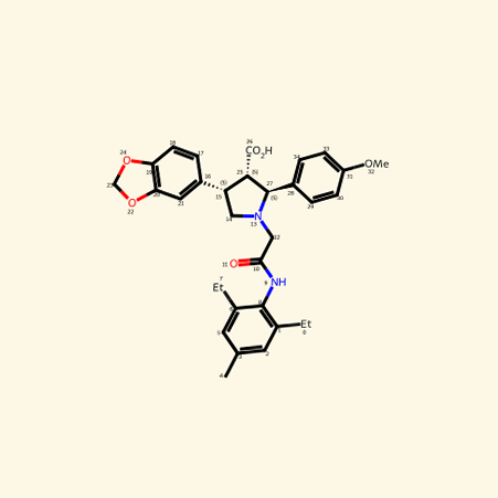 CCc1cc(C)cc(CC)c1NC(=O)CN1C[C@H](c2ccc3c(c2)OCO3)[C@H](C(=O)O)[C@H]1c1ccc(OC)cc1